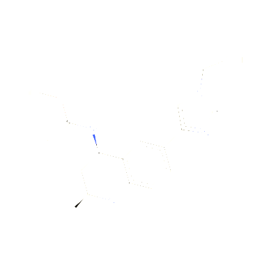 CC(C)OC(=O)N[C@@H]1C[C@H](C)Nc2ccc(-c3cn(CC(=O)O)cn3)cc21